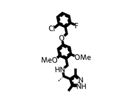 COc1cc(OCc2c(F)cccc2Cl)cc(OC)c1CN[C@@H](C)c1c(C)n[nH]c1C